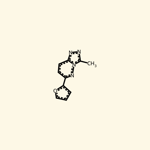 Cc1nnc2ccc(-c3ccco3)nn12